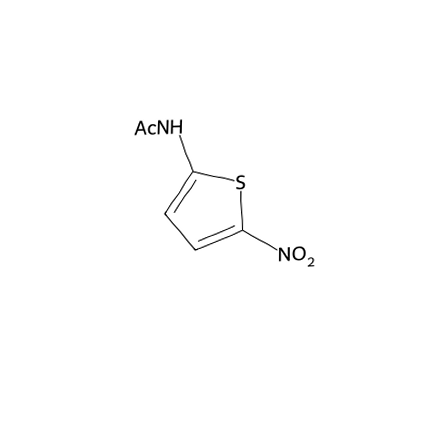 CC(=O)Nc1ccc([N+](=O)[O-])s1